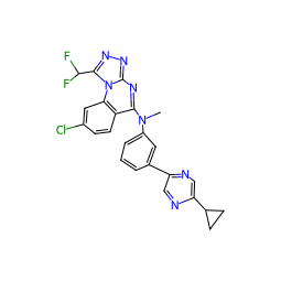 CN(c1cccc(-c2cnc(C3CC3)cn2)c1)c1nc2nnc(C(F)F)n2c2cc(Cl)ccc12